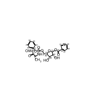 COC(=O)[C@@H](C)N[P@@](=O)(OC[C@H]1OC(OC(=O)c2cccnc2)[C@H](O)[C@@H]1O)Oc1ccccc1